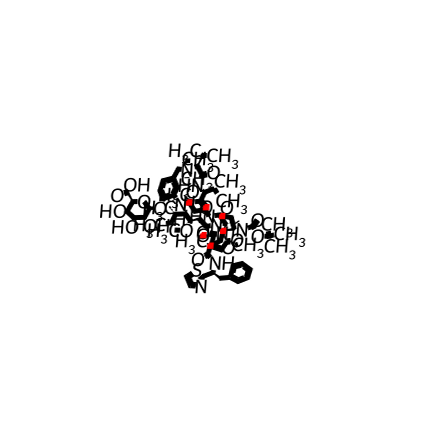 CC[C@H](C)[C@@H]([C@@H](CC(=O)N1CCC[C@H]1[C@H](OC)[C@@H](C)C(=O)N[C@@H](Cc1ccccc1)c1nccs1)OC)N(C)C(=O)[C@@H](NC(=O)[C@H](C(C)C)[N+](C)(C)Cc1ccc(O[C@@H]2O[C@H](C(=O)O)[C@@H](O)[C@H](O)[C@H]2O)c(NC(=O)CCNC(=O)[C@H](CNC(=O)OC(C)(C)C)N2C(=O)C=CC2=O)c1)C(C)C